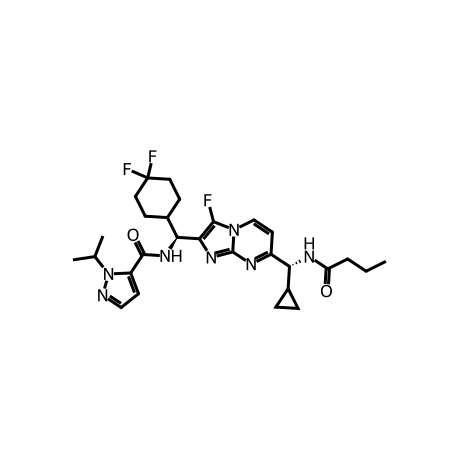 CCCC(=O)N[C@@H](c1ccn2c(F)c([C@@H](NC(=O)c3ccnn3C(C)C)C3CCC(F)(F)CC3)nc2n1)C1CC1